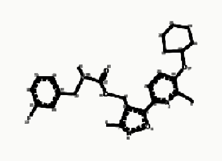 Cc1nc(-c2onc(C)c2COC(=O)N(C)Cc2cccc(F)c2)ccc1OC1CCCCC1